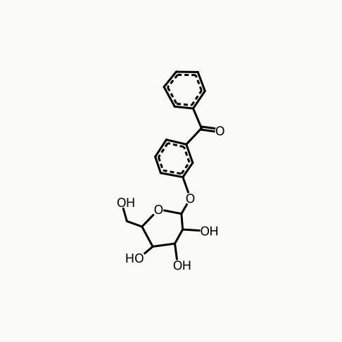 O=C(c1ccccc1)c1cccc(OC2OC(CO)C(O)C(O)C2O)c1